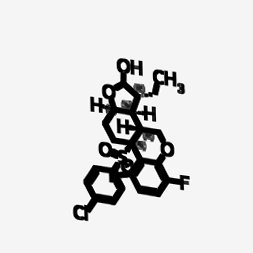 CC[C@H]1C(O)O[C@@H]2CC[C@@]3(S(=O)(=O)c4ccc(Cl)cc4)c4c(F)ccc(F)c4OC[C@H]3[C@@H]21